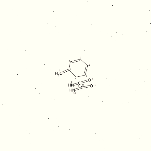 C=C1C=CC=CC1.N=C=O.N=C=O